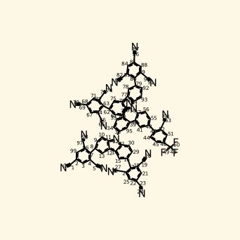 N#Cc1cc(C#N)c(-c2ccc3c(c2)c2cc(-c4c(C#N)cc(C#N)cc4C#N)ccc2n3-c2ccc(C#N)c(-c3cc(-c4ccc(C(F)(F)F)cc4C#N)ccc3-n3c4ccc(-c5c(C#N)cc(C#N)cc5C#N)cc4c4cc(-c5c(C#N)cc(C#N)cc5C#N)ccc43)c2)c(C#N)c1